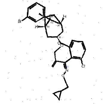 C=C(CO[C@@H]1C[C@H]2C[C@H](C)[C@@H](C1)[C@]2(O)c1cccc(Br)c1)/C(=N\OCC1CC1)c1c(Cl)cccc1Cl